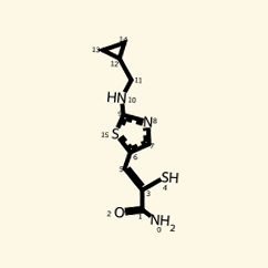 NC(=O)/C(S)=C/c1cnc(NCC2CC2)s1